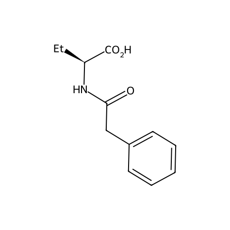 CC[C@H](NC(=O)Cc1ccccc1)C(=O)O